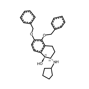 O[C@H]1c2ccc(OCc3ccccc3)c(OCc3ccccc3)c2CC[C@@H]1NC1CCCC1